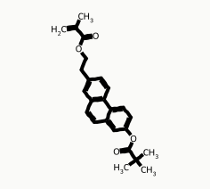 C=C(C)C(=O)OCCc1ccc2c(ccc3cc(OC(=O)C(C)(C)C)ccc32)c1